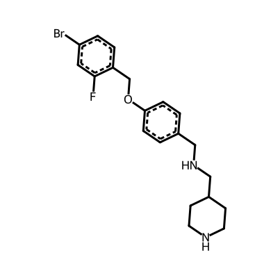 Fc1cc(Br)ccc1COc1ccc(CNCC2CCNCC2)cc1